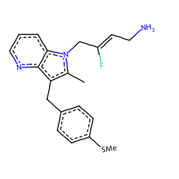 CSc1ccc(Cc2c(C)n(C/C(F)=C/CN)c3cccnc23)cc1